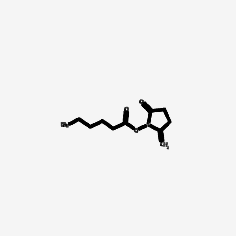 C=C1CCC(=O)N1OC(=O)CCCCC(C)(C)C